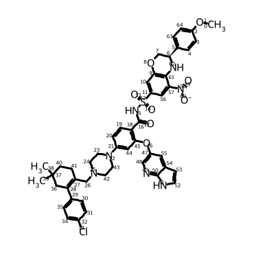 COc1ccc([C@@H]2COc3cc(S(=O)(=O)NC(=O)c4ccc(N5CCN(CC6=C(c7ccc(Cl)cc7)CC(C)(C)CC6)CC5)cc4Oc4cnc5[nH]ccc5c4)cc([N+](=O)[O-])c3N2)cc1